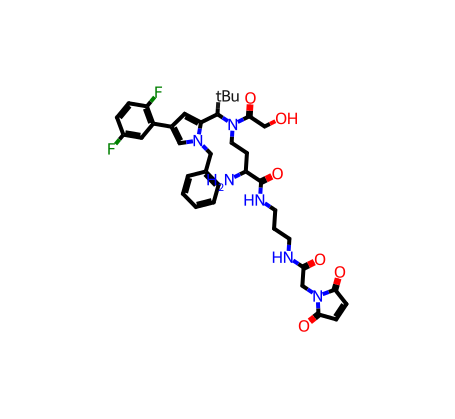 CC(C)(C)C(c1cc(-c2cc(F)ccc2F)cn1Cc1ccccc1)N(CCC(N)C(=O)NCCCNC(=O)CN1C(=O)C=CC1=O)C(=O)CO